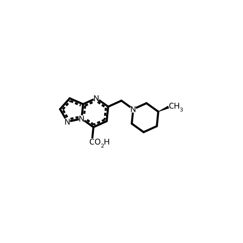 C[C@H]1CCCN(Cc2cc(C(=O)O)n3nccc3n2)C1